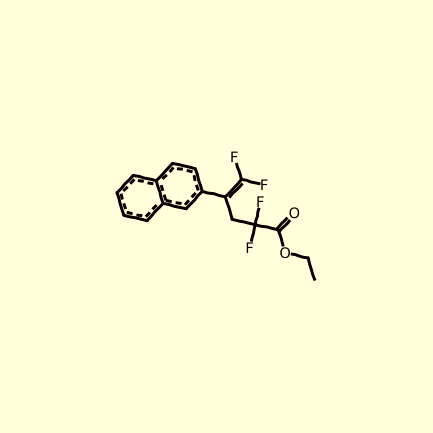 CCOC(=O)C(F)(F)CC(=C(F)F)c1ccc2ccccc2c1